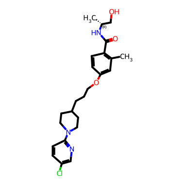 Cc1cc(OCCCC2CCN(c3ccc(Cl)cn3)CC2)ccc1C(=O)N[C@H](C)CO